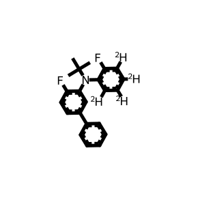 [2H]c1c([2H])c([2H])c(N(c2cc(-c3ccccc3)ccc2F)C(C)(C)C)c(F)c1[2H]